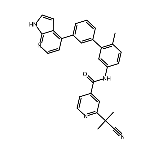 Cc1ccc(NC(=O)c2ccnc(C(C)(C)C#N)c2)cc1-c1cccc(-c2ccnc3[nH]ccc23)c1